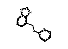 c1ccc(OCc2cccn3ncnc23)nc1